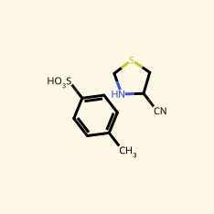 Cc1ccc(S(=O)(=O)O)cc1.N#CC1CSCN1